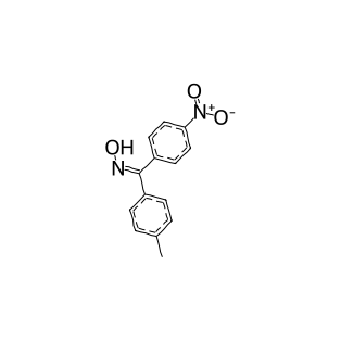 Cc1ccc(/C(=N/O)c2ccc([N+](=O)[O-])cc2)cc1